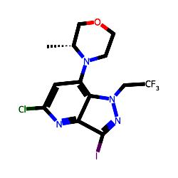 C[C@@H]1COCCN1c1cc(Cl)nc2c(I)nn(CC(F)(F)F)c12